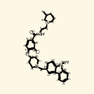 CC1CCCN(CCNC(=O)c2ccc(OC3CCN(Cc4ccc5c(c4)c4ccccc4n5C(C)C)CC3)c(Cl)c2)C1